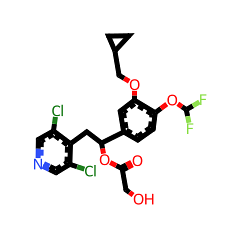 O=C(CO)OC(Cc1c(Cl)cncc1Cl)c1ccc(OC(F)F)c(OCC2CC2)c1